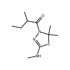 CCC(C)C(=O)N1N=C(NC)SC1(C)C